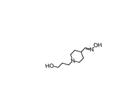 OCCCN1CCC(C=NO)CC1